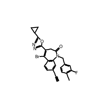 C#Cc1ccc2c(c1)N(Cc1ccc(C)c(F)c1)C(=O)CC(c1nnc(C3CC3)o1)=C2Br